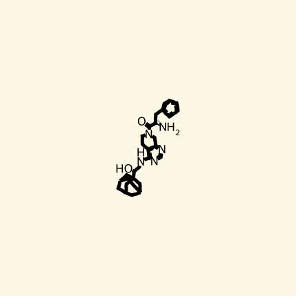 N[C@@H](Cc1ccccc1)C(=O)N1CCc2c(ncnc2NCC(O)C23CC4CC(CC(C4)C2)C3)C1